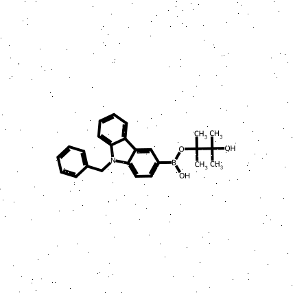 CC(C)(O)C(C)(C)OB(O)c1ccc2c(c1)c1ccccc1n2Cc1ccccc1